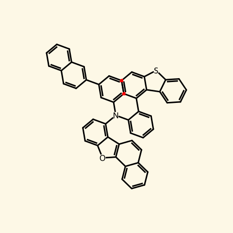 c1cc(-c2ccc3ccccc3c2)cc(N(c2ccccc2-c2cccc3sc4ccccc4c23)c2cccc3oc4c5ccccc5ccc4c23)c1